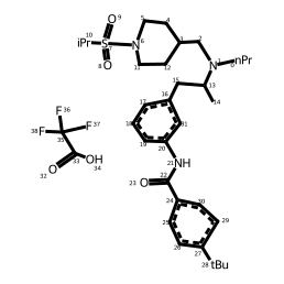 CCCN(CC1CCN(S(=O)(=O)C(C)C)CC1)C(C)Cc1cccc(NC(=O)c2ccc(C(C)(C)C)cc2)c1.O=C(O)C(F)(F)F